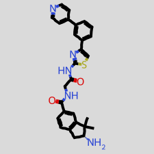 CC1(C)c2cc(C(=O)NCC(=O)Nc3nc(-c4cccc(-c5ccncc5)c4)cs3)ccc2C[C@H]1N